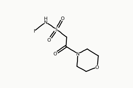 O=C(CS(=O)(=O)NI)N1CCOCC1